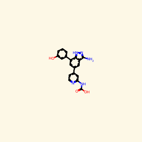 Nc1n[nH]c2c(-c3cccc(O)c3)cc(-c3ccnc(NC(=O)O)c3)cc12